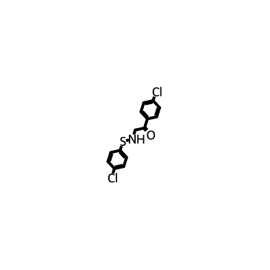 O=C(CNSc1ccc(Cl)cc1)c1ccc(Cl)cc1